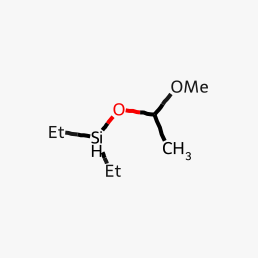 CC[SiH](CC)OC(C)OC